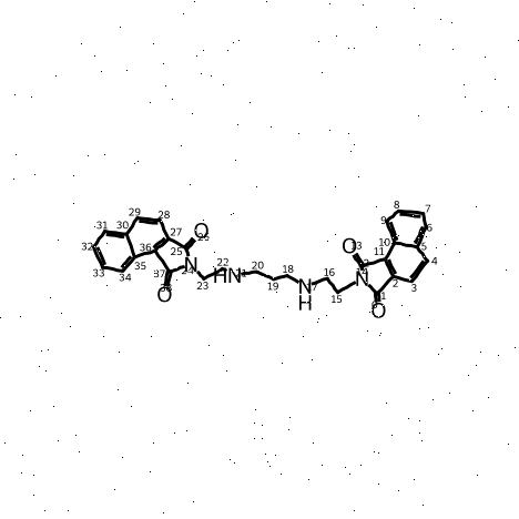 O=C1c2ccc3ccccc3c2C(=O)N1CCNCCCNCCN1C(=O)c2ccc3ccccc3c2C1=O